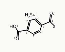 CC(=O)c1ccc(C(=O)O)cc1.S